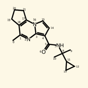 Cc1nc2c(C(=O)NC(C)(C)C3CC3)ccn2c2c1CCC2